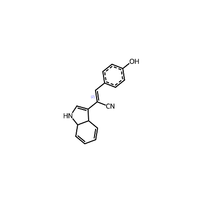 N#C/C(=C\c1ccc(O)cc1)C1=CNC2C=CC=CC12